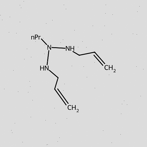 C=CCNN(CCC)NCC=C